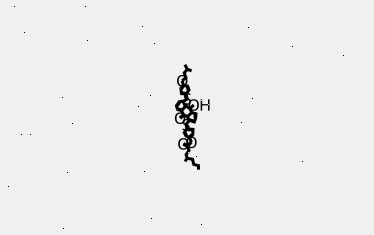 CCCCC(C)CCC(=O)Oc1ccc(SC2=CC=CC3C2C(=O)c2cccc(Sc4ccc(OCCC(C)C)cc4)c2C3O)cc1